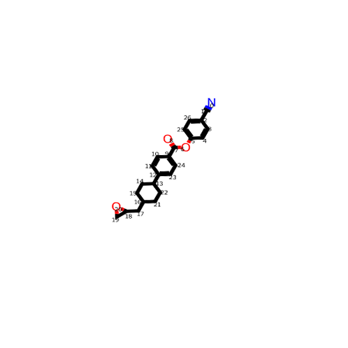 N#Cc1ccc(OC(=O)c2ccc(C3CCC(CC4CO4)CC3)cc2)cc1